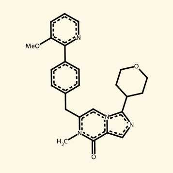 COc1cccnc1-c1ccc(Cc2cn3c(C4CCOCC4)ncc3c(=O)n2C)cc1